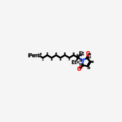 CCCC(C)CCCCCCCCC(CC)(CC)N1C(=O)C=CC1=O